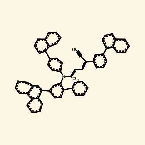 C#C/C(=C\C=C(/C)N(c1ccc(-c2cccc3ccccc23)cc1)c1cc(-c2cc3ccccc3c3ccccc23)ccc1-c1ccccc1)c1cccc(-c2cccc3ccccc23)c1